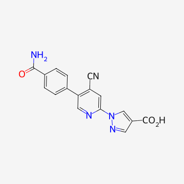 N#Cc1cc(-n2cc(C(=O)O)cn2)ncc1-c1ccc(C(N)=O)cc1